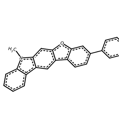 Cn1c2ccccc2c2cc3c(cc21)oc1cc(-c2ccccc2)ccc13